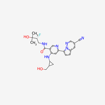 CC(C)(O)[C@H](F)CNC(=O)c1cnc(-c2ccc3cc(C#N)cnn23)cc1NC1CC1CO